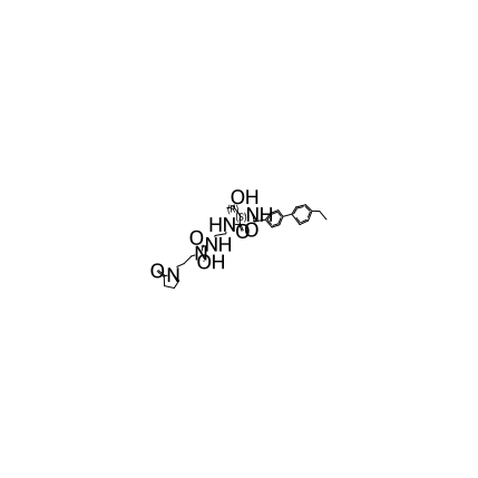 CCc1ccc(-c2ccc(C(=O)N[C@H](C(=O)NCCNC(=O)N(O)CCCN3CCCC3=O)[C@@H](C)O)cc2)cc1